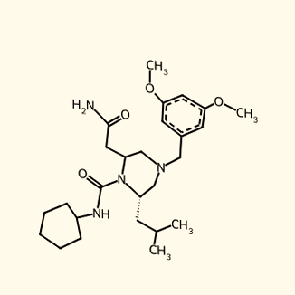 COc1cc(CN2CC(CC(N)=O)N(C(=O)NC3CCCCC3)[C@@H](CC(C)C)C2)cc(OC)c1